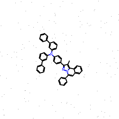 Cc1c(-c2ccc(N(c3cccc(-c4ccccc4)c3)c3cccc(-c4ccccc4)c3)cc2)nn2c(-c3ccccc3)cc3ccccc3c12